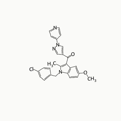 COc1ccc2c(c1)c(C(=O)c1cnn(-c3ccncc3)c1)c(C)n2Cc1ccc(Cl)cc1